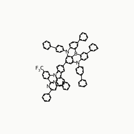 FC(F)(F)c1ccc(-c2nc(-c3ccccc3)cc(-c3ccccc3)n2)c(-n2c3ccccc3c3cc(-c4cc5c6c(c4)N(c4ccc(-c7ccccc7)cc4)c4ccc(-c7ccccc7)cc4B6c4cc(-c6ccccc6)ccc4N5c4ccc(-c5ccccc5)cc4)ccc32)c1